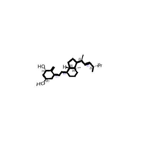 C=C1/C(=C\C=C2/CCC[C@]3(C)C([C@@H](C)/C=C/[C@@H](C)C(C)C)CC[C@@H]23)C[C@@H](O)C[C@@H]1O